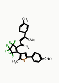 C=C(/C=C(\SC)C1C=CC(C)=CC1)C1=C(c2cc(-c3ccc(C=O)cc3)sc2C)C(F)(F)C(F)(F)C1(F)F